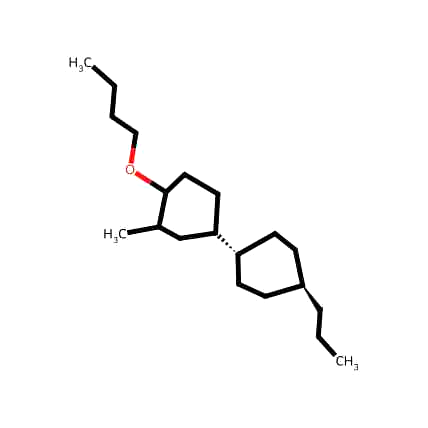 CCCCOC1CCC([C@H]2CC[C@H](CCC)CC2)CC1C